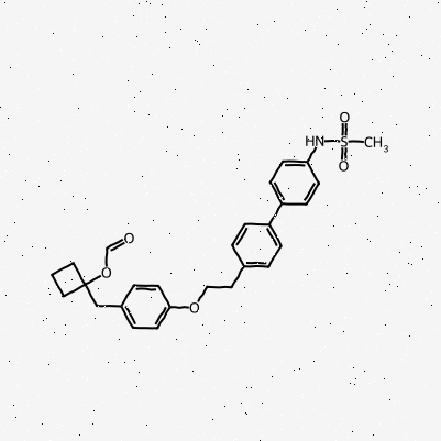 CS(=O)(=O)Nc1ccc(-c2ccc(CCOc3ccc(CC4(OC=O)CCC4)cc3)cc2)cc1